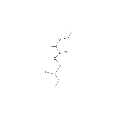 CCOC(C)C(=O)OCC(F)CC